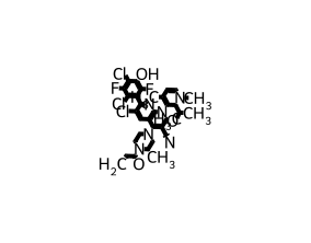 C=CC(=O)N1CCN(c2c(C#N)c(=O)n(C3=C(C)C=CN(C)C3C(C)C)c3nc(-c4c(F)c(O)c(Cl)c(F)c4Cl)c(Cl)cc23)C[C@H]1C